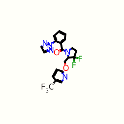 O=C(c1ccccc1-n1nccn1)N1CCC(F)(F)C1COc1ccc(C(F)(F)F)cn1